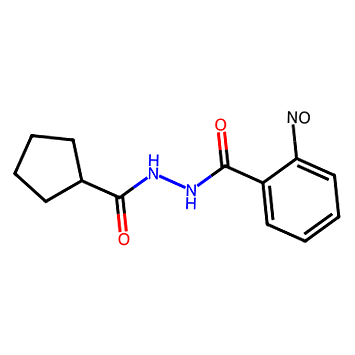 O=Nc1ccccc1C(=O)NNC(=O)C1CCCC1